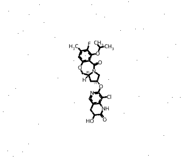 Cc1cc2c(c(OC(C)C)c1F)C(=O)N1C[C@@H](Oc3ncc4c(c3Cl)NC(=O)C(O)C4)C[C@@H]1CO2